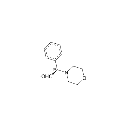 O=[C][C@@H](c1ccccc1)N1CCOCC1